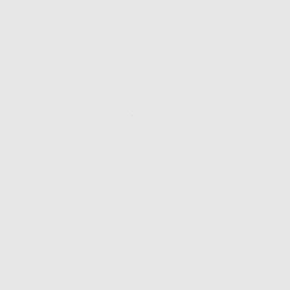 O=C1Cc2c(Cl)cccc2Sc2ccccc21